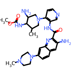 COC(=O)NC1C(C)CN(c2ccncc2NC(=O)c2nc3cc(N4CCN(C)CC4)ccc3cc2N)CC1N